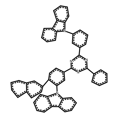 c1ccc(-c2nc(-c3cccc(-n4c5ccccc5c5ccccc54)c3)nc(-c3ccc(-c4ccc5ccccc5c4)c(-n4c5ccccc5c5ccccc54)c3)n2)cc1